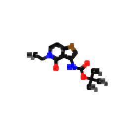 CCn1ccc2scc(NC(=O)OC(C)(C)C)c2c1=O